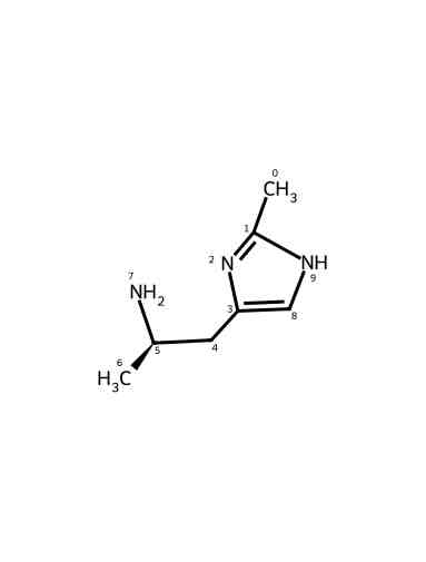 Cc1nc(C[C@@H](C)N)c[nH]1